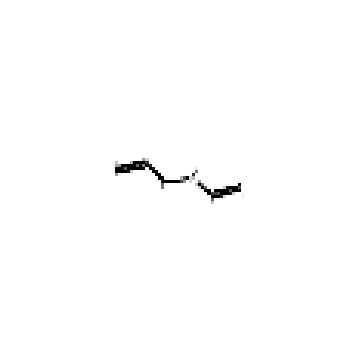 C=CCSC=C